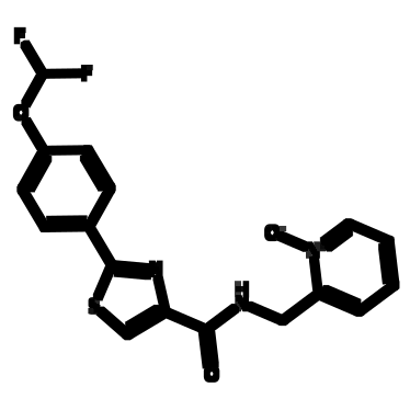 O=C(NCc1cccc[n+]1[O-])c1csc(-c2ccc(OC(F)F)cc2)n1